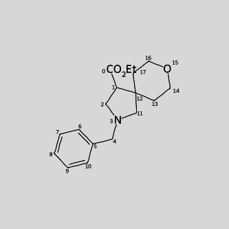 CCOC(=O)C1CN(Cc2ccccc2)CC12CCOCC2